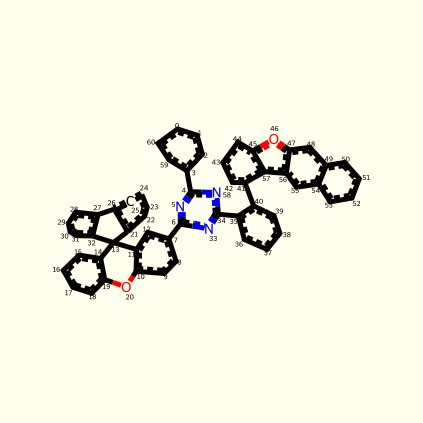 c1ccc(-c2nc(-c3ccc4c(c3)C3(c5ccccc5O4)c4ccccc4-c4ccccc43)nc(-c3ccccc3-c3cccc4oc5cc6ccccc6cc5c34)n2)cc1